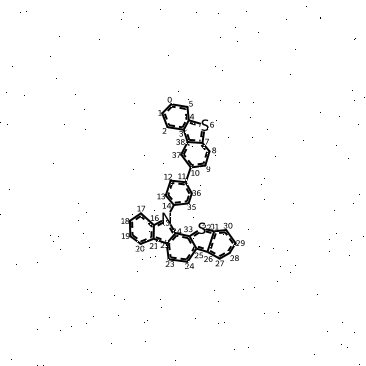 c1ccc2c(c1)sc1ccc(-c3ccc(-n4c5ccccc5c5ccc6c7ccccc7sc6c54)cc3)cc12